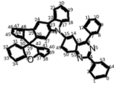 c1ccc(-c2nc(-c3ccccc3)c3cc(-n4c5ccccc5c5cc6c(cc54)C4(c5ccccc5Oc5ccccc54)c4ccccc4-6)ccc3n2)cc1